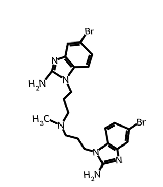 CN(CCCn1c(N)nc2cc(Br)ccc21)CCCn1c(N)nc2cc(Br)ccc21